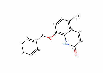 Cc1ccc(OCC2=CCCC=C2)c2[nH]c(=O)ccc12